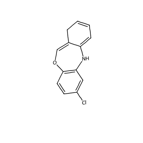 Clc1ccc2c(c1)NC1=CC=CCC1=CO2